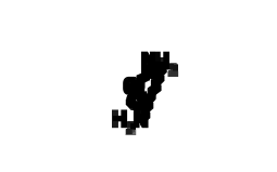 CCCCCCCCCCCCN.NC(=O)CCCCC(=O)N1CCCCCC1